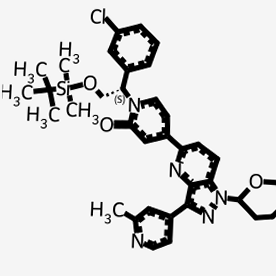 Cc1cc(-c2nn(C3CCCCO3)c3ccc(-c4ccn([C@H](CO[Si](C)(C)C(C)(C)C)c5cccc(Cl)c5)c(=O)c4)nc23)ccn1